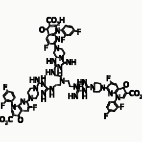 N=C(NCCN(CCNC(=N)NC(=N)N1CCN(c2nc3c(cc2F)c(=O)c(C(=O)O)cn3-c2ccc(F)cc2F)CC1)CCNC(=N)NC(=N)N1CCN(c2nc3c(cc2F)c(=O)c(C(=O)O)cn3-c2ccc(F)cc2F)CC1)NC(=N)N1CCN(c2nc3c(cc2F)c(=O)c(C(=O)O)cn3-c2ccc(F)cc2F)CC1